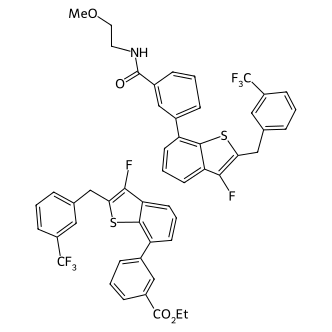 CCOC(=O)c1cccc(-c2cccc3c(F)c(Cc4cccc(C(F)(F)F)c4)sc23)c1.COCCNC(=O)c1cccc(-c2cccc3c(F)c(Cc4cccc(C(F)(F)F)c4)sc23)c1